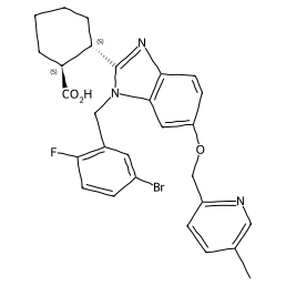 Cc1ccc(COc2ccc3nc([C@H]4CCCC[C@@H]4C(=O)O)n(Cc4cc(Br)ccc4F)c3c2)nc1